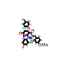 COc1ccc(Cn2c(=O)c3c(Oc4ccc(C)cc4F)cc(=O)n(C)c3n(-c3ccc(I)cc3F)c2=O)cc1